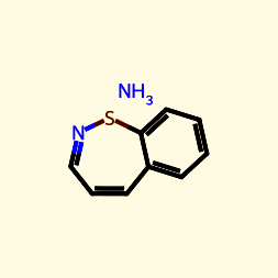 C1=Cc2ccccc2SN=C1.N